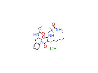 CCCCCCC(C(=O)NCC(C)(C)C(N)=O)C(=O)N1CC(NC(=O)OC)Cc2ccccc21.Cl